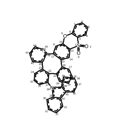 O=S1(=O)c2ccccc2Oc2cc3c(cc21)-c1ccccc1-c1c(cccc1-n1c2ccccc2c2ccccc21)-c1cccnc1-3